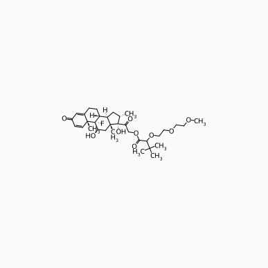 COCCOCCOC(C(=O)OCC(=O)[C@]1(O)[C@@H](C)C[C@@H]2[C@H]3CCC4=CC(=O)C=C[C@@]4(C)[C@]3(F)[C@H](O)C[C@]21C)C(C)(C)C